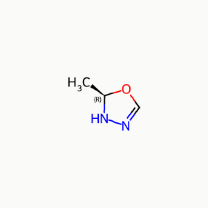 C[C@@H]1NN=CO1